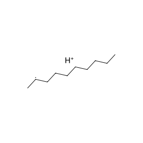 C[CH]CCCCCCCC.[H+]